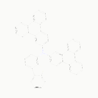 c1ccc2c(c1)sc1c(N(c3ccc4c5ccccc5c5ccccc5c4c3)c3ccc4c5ccccc5c5ccccc5c4c3)cccc12